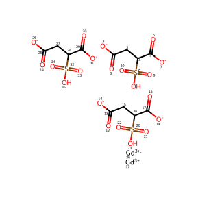 O=C([O-])CC(C(=O)[O-])S(=O)(=O)O.O=C([O-])CC(C(=O)[O-])S(=O)(=O)O.O=C([O-])CC(C(=O)[O-])S(=O)(=O)O.[Gd+3].[Gd+3]